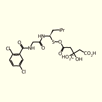 CC(C)C[C@H](NC(=O)CNC(=O)c1cc(Cl)ccc1Cl)SOC(=O)CC(O)(CC(=O)O)C(=O)O